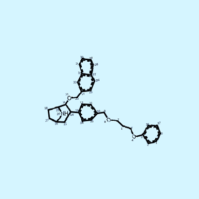 c1ccc(OCCCOCc2ccc(C3CC4CCC(N4)C3OCc3ccc4ccccc4c3)cc2)cc1